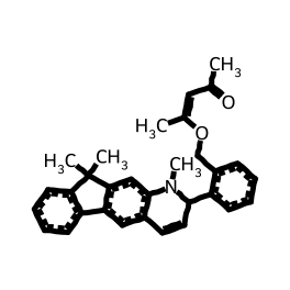 CC(=O)/C=C(/C)OCc1ccccc1C1C=Cc2cc3c(cc2N1C)C(C)(C)c1ccccc1-3